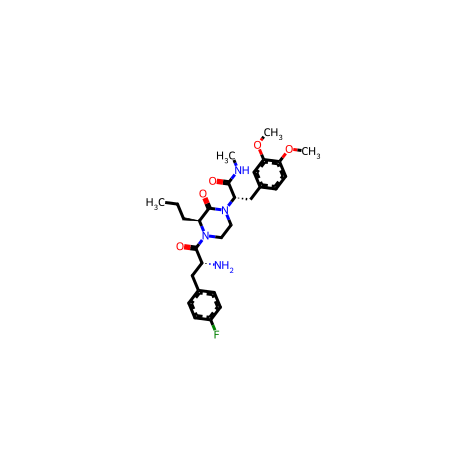 CCC[C@H]1C(=O)N([C@@H](Cc2ccc(OC)c(OC)c2)C(=O)NC)CCN1C(=O)[C@H](N)Cc1ccc(F)cc1